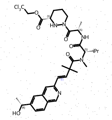 CC(C)[C@@H](C(=O)N[C@@H](C)C(=O)N1CCC[C@@H](C(=O)OCC(Cl)(Cl)Cl)N1)N(C)C(=O)C(C)(C)/C=C/c1cc2cc([C@@H](C)O)ccc2cn1